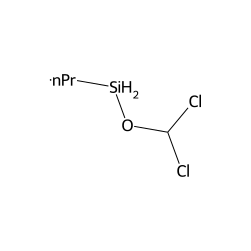 CC[CH][SiH2]OC(Cl)Cl